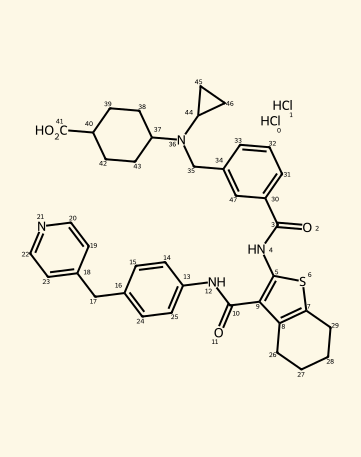 Cl.Cl.O=C(Nc1sc2c(c1C(=O)Nc1ccc(Cc3ccncc3)cc1)CCCC2)c1cccc(CN(C2CCC(C(=O)O)CC2)C2CC2)c1